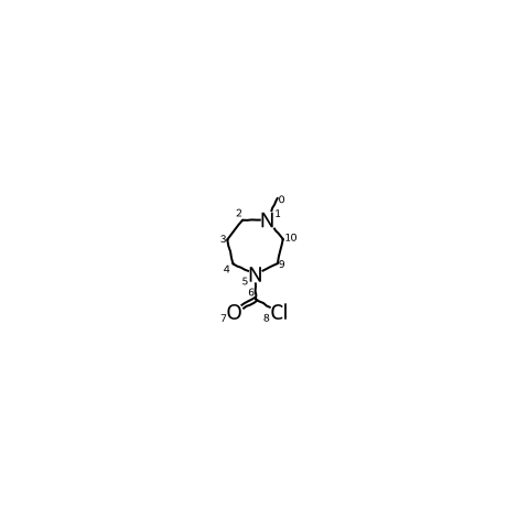 CN1CCCN(C(=O)Cl)CC1